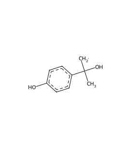 [CH2]C(C)(O)c1ccc(O)cc1